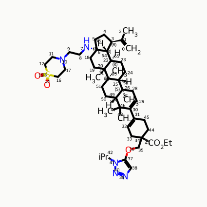 C=C(C)[C@@H]1CC[C@]2(NCCN3CCS(=O)(=O)CC3)CC[C@]3(C)[C@H](CC[C@@H]4[C@@]5(C)CC=C(C6=CCC(COc7cnnn7C(C)C)(C(=O)OCC)CC6)C(C)(C)[C@@H]5CC[C@]43C)[C@@H]12